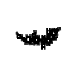 COCCN1CCN(c2ccc(-c3nc4c(NC5CCN(C)CC5)c(Br)cnc4[nH]3)cc2OC)CC1